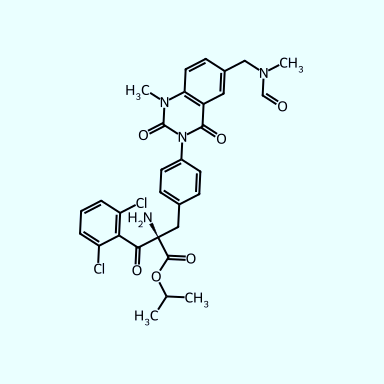 CC(C)OC(=O)[C@@](N)(Cc1ccc(-n2c(=O)c3cc(CN(C)C=O)ccc3n(C)c2=O)cc1)C(=O)c1c(Cl)cccc1Cl